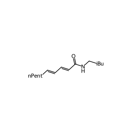 CCCCCC=CC=CC(=O)NCC(C)CC